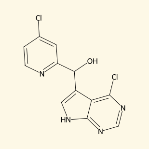 OC(c1cc(Cl)ccn1)c1c[nH]c2ncnc(Cl)c12